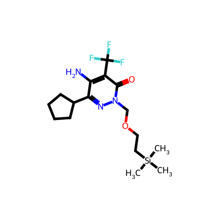 C[Si](C)(C)CCOCn1nc(C2CCCC2)c(N)c(C(F)(F)F)c1=O